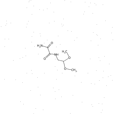 COC(CNC(=O)C(N)=O)OC